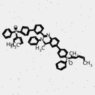 C/C=C\C=C(/C)P(=O)(c1ccccc1)c1ccc(-c2ccc3c(c2)[C@H](C)N(c2ccccc2)C(c2cccc(-c4ccc(P(=O)(C(/C=C\C)=C/C)c5ccccc5)cc4)c2)=N3)cc1